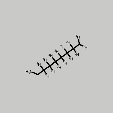 [2H]C([2H])C([2H])([2H])C([2H])([2H])C([2H])([2H])C([2H])([2H])C([2H])([2H])C([2H])([2H])CN